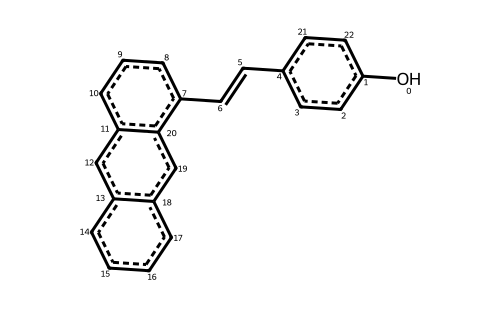 Oc1ccc(C=Cc2cccc3cc4ccccc4cc23)cc1